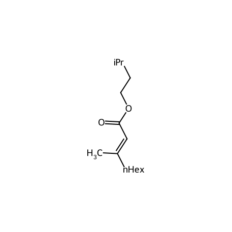 CCCCCC/C(C)=C/C(=O)OCCC(C)C